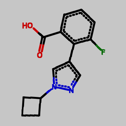 O=C(O)c1cccc(F)c1-c1cnn(C2CCC2)c1